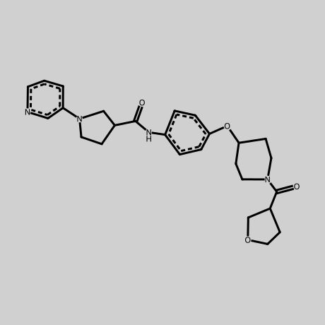 O=C(Nc1ccc(OC2CCN(C(=O)C3CCOC3)CC2)cc1)C1CCN(c2cccnc2)C1